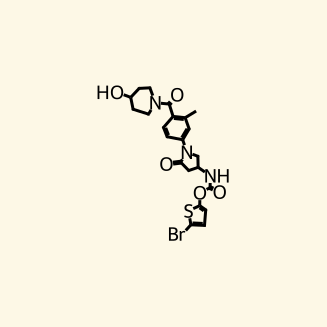 Cc1cc(N2CC(NC(=O)Oc3ccc(Br)s3)CC2=O)ccc1C(=O)N1CCC(O)CC1